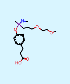 CN=P(C)(CCCOCCOC)Oc1ccc(CCC(=O)O)cc1